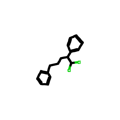 ClC(Cl)C(CCCc1ccccc1)c1ccccc1